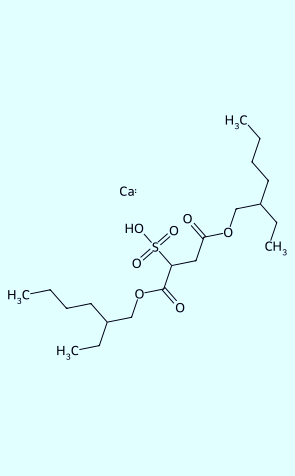 CCCCC(CC)COC(=O)CC(C(=O)OCC(CC)CCCC)S(=O)(=O)O.[Ca]